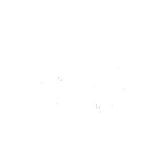 CCC/C=C(\C=N\C(C)=O)C1=CC(/C(C)=C\NC)=C(C)C1